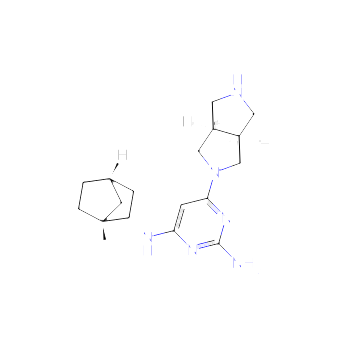 Nc1nc(N[C@H]2C[C@H]3CC[C@@H]2C3)cc(N2C[C@H]3CNC[C@H]3C2)n1